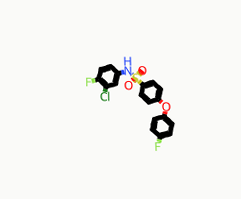 O=S(=O)(Nc1ccc(F)c(Cl)c1)c1ccc(Oc2ccc(F)cc2)cc1